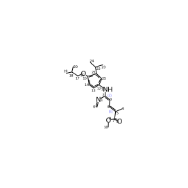 C=N/C(=C\C=C(/C)C(=O)OC)Nc1ccc(OCC(C)C)c(C(C)C)c1